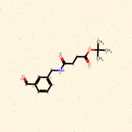 CC(C)(C)OC(=O)CCC(=O)NCc1cccc(C=O)c1